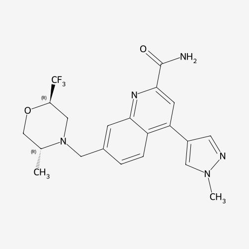 C[C@@H]1CO[C@@H](C(F)(F)F)CN1Cc1ccc2c(-c3cnn(C)c3)cc(C(N)=O)nc2c1